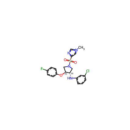 Cn1cnc(S(=O)(=O)N2C[C@H](Nc3cccc(Cl)c3)[C@@H](Oc3ccc(F)cc3)C2)c1